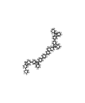 c1ccc(-c2ccc3sc4ccc(-c5ccc6c(c5)c5ccccc5n6-c5ccc(-c6ccc(-c7ccc8c(ccc9cc(-n%10c%11ccccc%11c%11cc(-c%12ccc%13c(c%12)c%12ccccc%12n%13-c%12ccccc%12)ccc%11%10)ccc98)c7)cc6)cc5)cc4c3c2)cc1